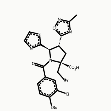 Cc1noc([C@@H]2C[C@@](CC(C)C)(C(=O)O)N(C(=O)c3ccc(C(C)(C)C)c(Cl)c3)[C@H]2c2nccs2)n1